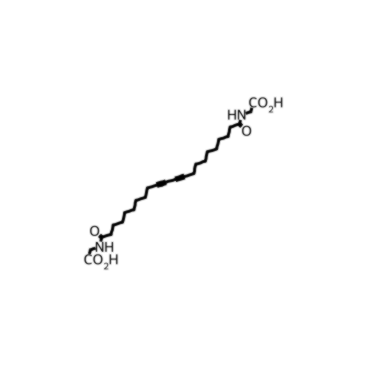 O=C(O)CNC(=O)CCCCCCCCC#CC#CCCCCCCCCC(=O)NCC(=O)O